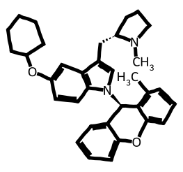 Cc1cccc2c1[C@H](n1cc(C[C@@H]3CCCN3C)c3cc(OC4CCCCC4)ccc31)c1ccccc1O2